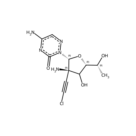 C[C@@H](O)[C@H]1O[C@@H](n2ncc(N)nc2=O)[C@@](N)(C#CCl)C1O